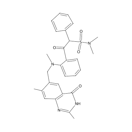 Cc1nc2cc(C)c(CN(C)c3ccccc3C(=O)C(c3ccccc3)S(=O)(=O)N(C)C)cc2c(=O)[nH]1